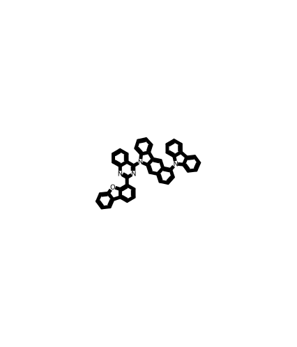 c1cc(-n2c3ccccc3c3ccccc32)c2cc3c4ccccc4n(-c4nc(-c5cccc6c5oc5ccccc56)nc5ccccc45)c3cc2c1